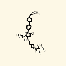 C=C=CC1CC=C(c2ccc(-c3nc(N=C)c(NCCC4CN(C(=C)C(C)C)C4)cc3Cl)cc2)CC1